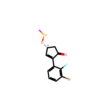 O=C1C[C@@H](OPI)C=C1c1cccc(Br)c1F